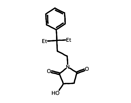 CCC(CC)(CCN1C(=O)CC(O)C1=O)c1ccccc1